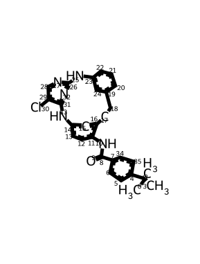 CC(C)(C)c1ccc(C(=O)Nc2ccc3cc2CCc2cccc(c2)Nc2ncc(Cl)c(n2)N3)cc1